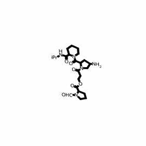 CC(C)NC(=O)C1CCCCN1C(=O)C1CC(N)CN1C(=O)CCOC(=O)C1CCCN1C=O